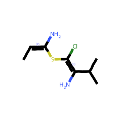 C/C=C(/N)S/C(Cl)=C(\N)C(C)C